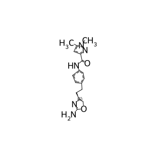 Cc1cc(C(=O)Nc2ccc(CC[C@H]3COC(N)=N3)cc2)nn1C